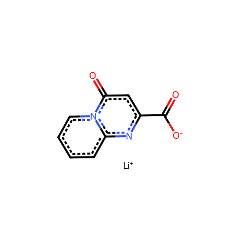 O=C([O-])c1cc(=O)n2ccccc2n1.[Li+]